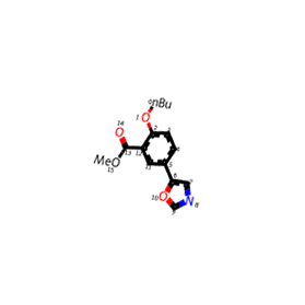 CCCCOc1ccc(-c2cnco2)cc1C(=O)OC